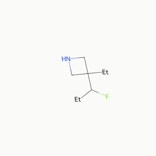 CCC(F)C1(CC)CNC1